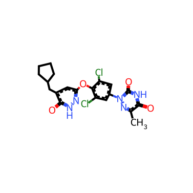 Cc1nn(-c2cc(Cl)c(Oc3cc(CC4CCCC4)c(=O)[nH]n3)c(Cl)c2)c(=O)[nH]c1=O